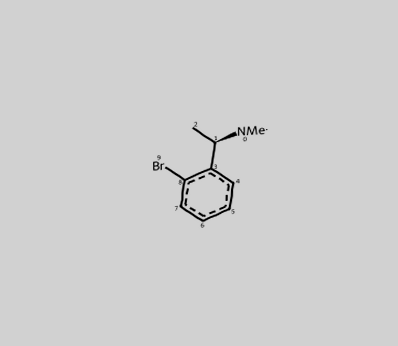 C[N][C@H](C)c1ccccc1Br